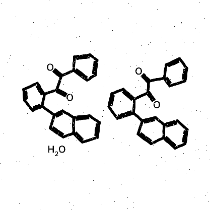 O.O=C(C(=O)c1ccccc1-c1ccc2ccccc2c1)c1ccccc1.O=C(C(=O)c1ccccc1-c1ccc2ccccc2c1)c1ccccc1